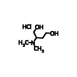 CN(C)C(CO)CCO.Cl